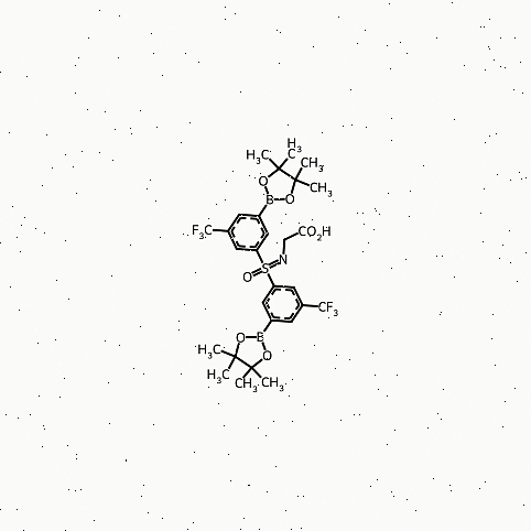 CC1(C)OB(c2cc(C(F)(F)F)cc(S(=O)(=NCC(=O)O)c3cc(B4OC(C)(C)C(C)(C)O4)cc(C(F)(F)F)c3)c2)OC1(C)C